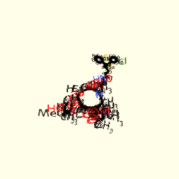 CC[C@H]1OC(=O)[C@H](C)[C@@H](O[C@H]2C[C@@](C)(OC)[C@@H](O)[C@H](C)O2)[C@H](C)[C@@H](O[C@@H]2O[C@H](C)C[C@H](N(C)C)[C@H]2O)[C@](C)(O)C[C@@H](C)CN(CCCNC(=O)/C=C/c2cc3c(s2)-c2cc(Cl)ccc2Sc2ccccc2-3)[C@H](C)[C@@H](O)[C@]1(C)O